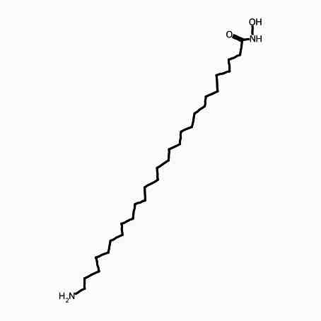 NCCCCCCCCCCCCCCCCCCCCCCCCCCCC(=O)NO